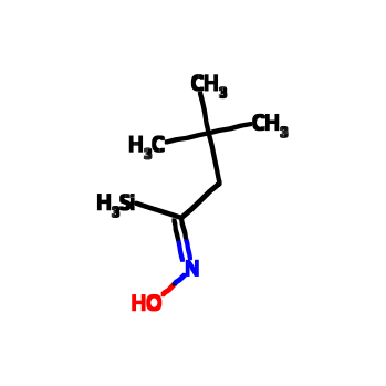 CC(C)(C)CC([SiH3])=NO